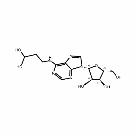 OC[C@H]1O[C@@H](n2cnc3c(NCCC(O)O)ncnc32)[C@H](O)[C@@H]1O